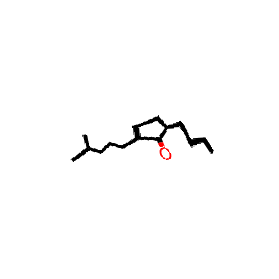 CCCCC1CCC(CCCC(C)C)C1=O